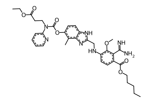 CCCCCOC(=O)c1ccc(NCc2nc3c(C)c(OC(=O)N(CCC(=O)OCC)c4ccccn4)ccc3[nH]2)c(OC)c1C(=N)N